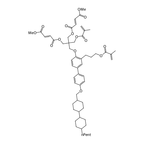 C=C(C)C(=O)OCCCc1cc(-c2ccc(OCC3CCC(C4CCC(CCCCC)CC4)CC3)cc2)ccc1OCC(COC(=O)/C=C/C(=O)OC)(COC(=O)/C=C/C(=O)OC)COC(=O)C(=C)C